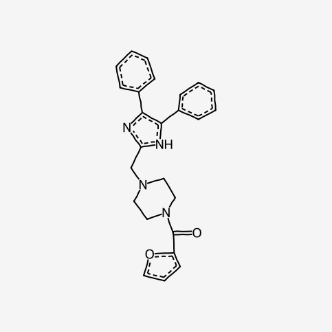 O=C(c1ccco1)N1CCN(Cc2nc(-c3ccccc3)c(-c3ccccc3)[nH]2)CC1